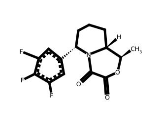 C[C@H]1OC(=O)C(=O)N2[C@@H]1CCC[C@H]2c1cc(F)c(F)c(F)c1